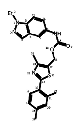 CCn1ncc2cc(NC(=O)OCc3sc(-c4ccc(C)cc4C)nc3C)ccc21